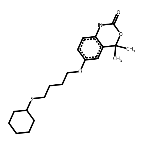 CC1(C)OC(=O)Nc2ccc(OCCCCSC3CCCCC3)cc21